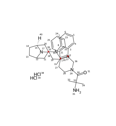 Cc1nc2ccccc2n1C1CC2CC[C@@H](C1)N2CCC1(c2ccccc2)CCN(C(=O)C(C)(C)N)CC1.Cl.Cl